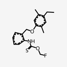 CCc1cc(C)c(OCc2ccccc2NC(=S)OCF)cc1C